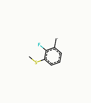 [CH2]c1cccc(SC)c1F